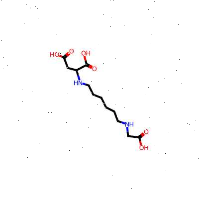 O=C(O)CNCCCCCCNC(CC(=O)O)C(=O)O